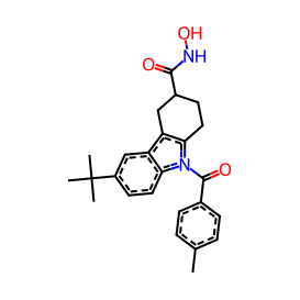 Cc1ccc(C(=O)n2c3c(c4cc(C(C)(C)C)ccc42)CC(C(=O)NO)CC3)cc1